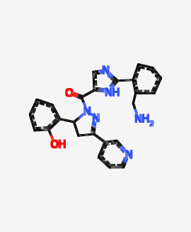 NCc1ccccc1-c1ncc(C(=O)N2N=C(c3cccnc3)CC2c2ccccc2O)[nH]1